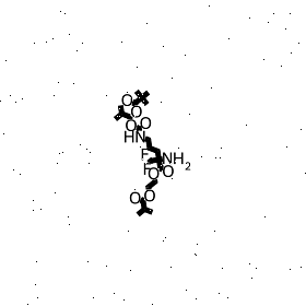 CC(C)C(=O)OCCOC(=O)C(N)(CCCNC(=O)OC(OC(=O)C(C)(C)C)C(C)C)C(F)F